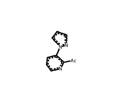 CC(=O)c1ncccc1-n1cccn1